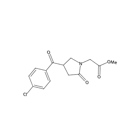 COC(=O)CN1CC(C(=O)c2ccc(Cl)cc2)CC1=O